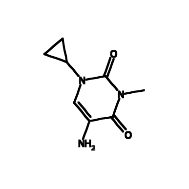 Cn1c(=O)c(N)cn(C2CC2)c1=O